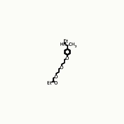 CCN[C@H](C)c1ccc(OCCCOCCCOCC(=O)CC)cc1